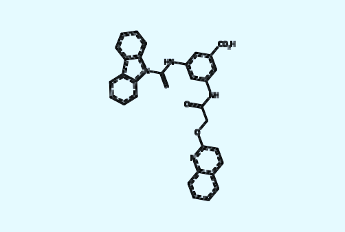 C=C(Nc1cc(NC(=O)COc2ccc3ccccc3n2)cc(C(=O)O)c1)n1c2ccccc2c2ccccc21